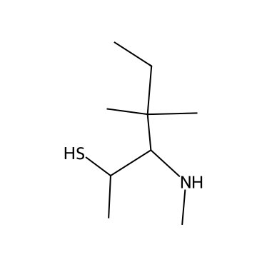 CCC(C)(C)C(NC)C(C)S